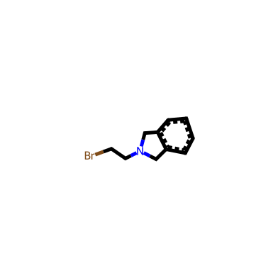 BrCCN1Cc2ccccc2C1